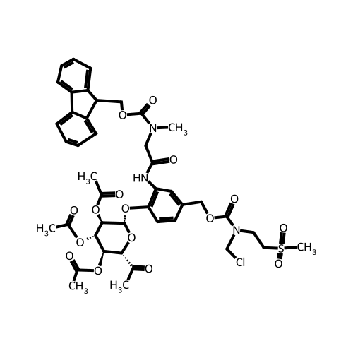 CC(=O)O[C@@H]1[C@@H](OC(C)=O)[C@H](Oc2ccc(COC(=O)N(CCl)CCS(C)(=O)=O)cc2NC(=O)CN(C)C(=O)OCC2c3ccccc3-c3ccccc32)O[C@H](C(C)=O)[C@H]1OC(C)=O